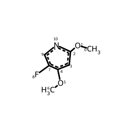 COc1cc(OC)c(F)cn1